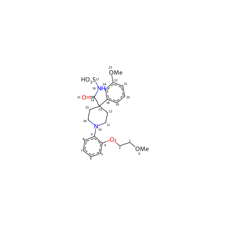 COCCOc1ccccc1N1CCC(C(=O)NS(=O)(=O)O)(c2cccc(OC)c2)CC1